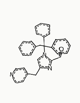 O=Cc1nc(Cc2ccncc2)cn1C(c1ccccc1)(c1ccccc1)c1ccccc1